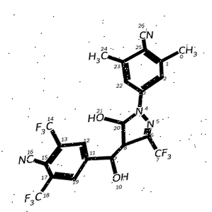 Cc1cc(N2N=C(C(F)(F)F)C(C(O)c3cc(C(F)(F)F)c(C#N)c(C(F)(F)F)c3)C2O)cc(C)c1C#N